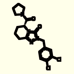 O=C([C@H]1CCCc2nn(Cc3ccc(Cl)c(Cl)c3)c(=O)n21)N1CCCC1